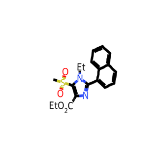 CCOC(=O)c1nc(-c2cccc3ccccc23)n(CC)c1S(C)(=O)=O